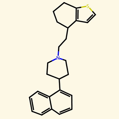 c1ccc2c(C3CCN(CCC4CCCc5sccc54)CC3)cccc2c1